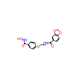 O=C(NO)c1ccc(OCCNC(=O)c2ccc3c(c2)OCO3)cc1